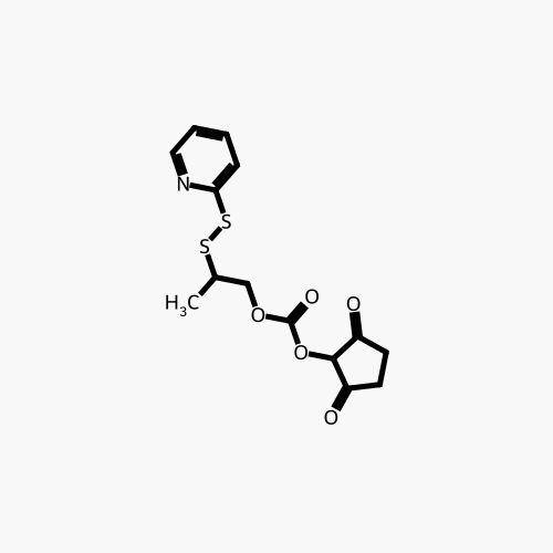 CC(COC(=O)OC1C(=O)CCC1=O)SSc1ccccn1